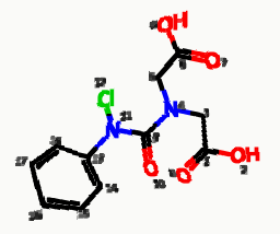 O=C(O)CN(CC(=O)O)C(=O)N(Cl)c1ccccc1